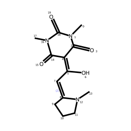 CN1C(=O)C(=C(O)/C=C2/CCCN2C)C(=O)N(C)C1=O